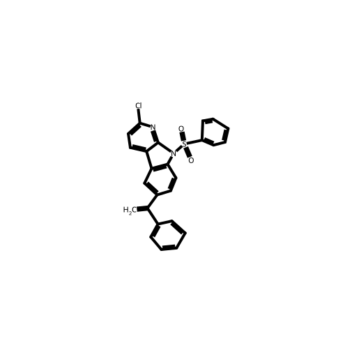 C=C(c1ccccc1)c1ccc2c(c1)c1ccc(Cl)nc1n2S(=O)(=O)c1ccccc1